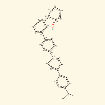 CC(C)c1ccc(-c2ccc(-c3ccc(-c4cccc5c4oc4ccccc45)cc3)cc2)cc1